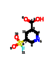 O=C(O)c1cncc(S(=O)(=O)F)c1